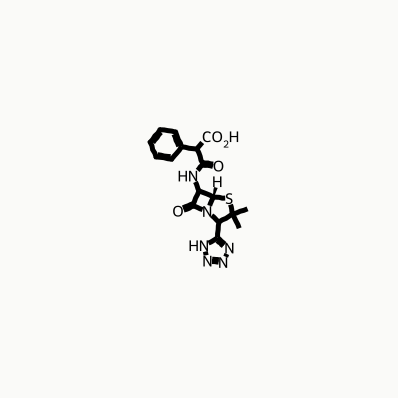 CC1(C)S[C@H]2C(NC(=O)C(C(=O)O)c3ccccc3)C(=O)N2C1c1nnn[nH]1